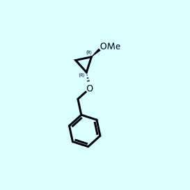 CO[C@@H]1C[C@H]1OCc1ccccc1